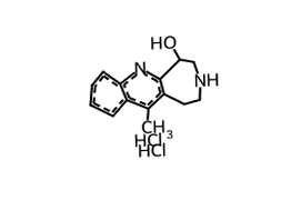 Cc1c2c(nc3ccccc13)C(O)CNCC2.Cl.Cl